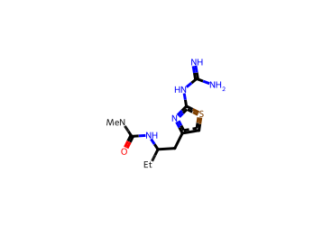 CCC(Cc1csc(NC(=N)N)n1)NC(=O)NC